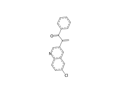 C=C(C(=O)c1ccccc1)c1cnc2ccc(Cl)cc2c1